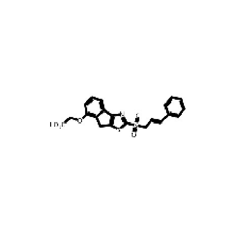 O=C(O)COc1cccc2c1Cc1sc(S(=O)(=O)CC=Cc3ccccc3)nc1-2